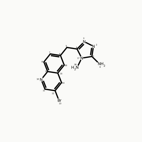 Nc1nnc(Cc2ccc3ncc(Br)cc3c2)n1N